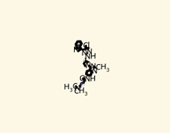 Cc1nc(N2CC[C@@H](CNc3ncc(Cl)c(-c4cnn5ccccc45)n3)C2)c2ccc(NC(=O)/C=C/CN(C)C)cc2n1